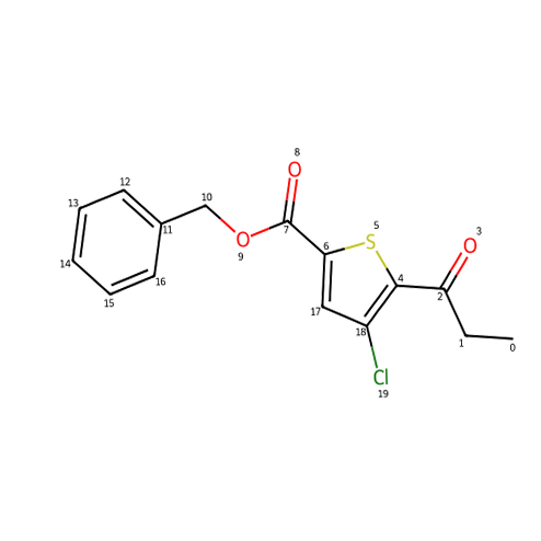 CCC(=O)c1sc(C(=O)OCc2ccccc2)cc1Cl